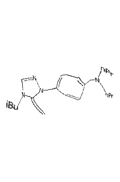 C=C1N(c2ccc(N(CCC)CCC)cc2)N=CN1C(C)CC